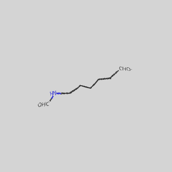 O=[C]CCCCCNC=O